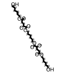 O=C(CCC(=O)C(=O)OCCCCCCOC(=O)C(=O)CCC(=O)OCCCCCCO)OCCCCCCO